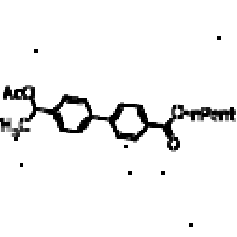 CCCCCOC(=O)c1ccc(-c2ccc(C(C)OC(C)=O)cc2)cc1